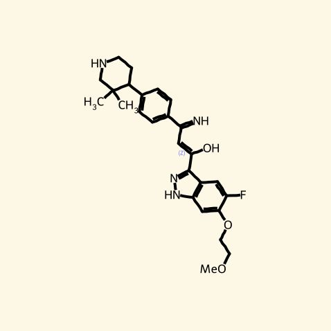 COCCOc1cc2[nH]nc(/C(O)=C/C(=N)c3ccc(C4CCNCC4(C)C)cc3)c2cc1F